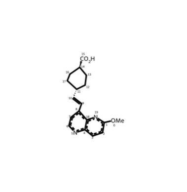 COc1ccc2nccc(C=C[C@H]3CC[C@H](C(=O)O)CC3)c2n1